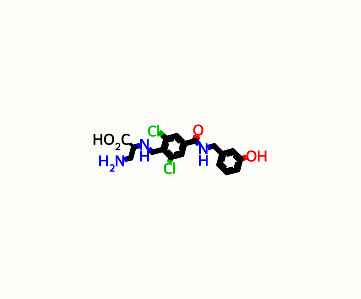 NC[C@H](NCc1c(Cl)cc(C(=O)NCc2cccc(O)c2)cc1Cl)C(=O)O